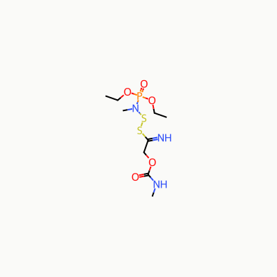 CCOP(=O)(OCC)N(C)SSC(=N)COC(=O)NC